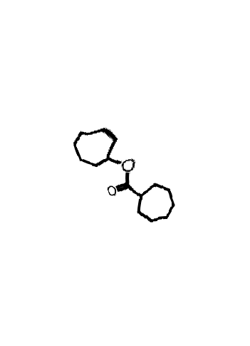 O=C(OC1CCCCCC1)C1CCCCCC1